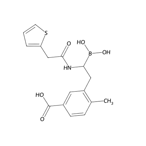 Cc1ccc(C(=O)O)cc1CC(NC(=O)Cc1cccs1)B(O)O